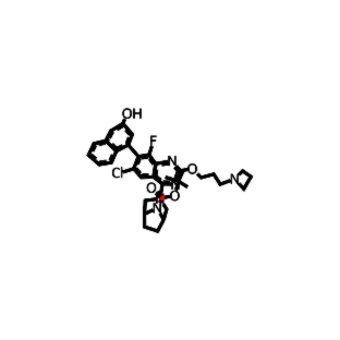 CC(C)(C)OC(=O)N1C2CCC1CN(c1nc(OCCCN3CCC3)nc3c(F)c(-c4cc(O)cc5ccccc45)c(Cl)cc13)C2